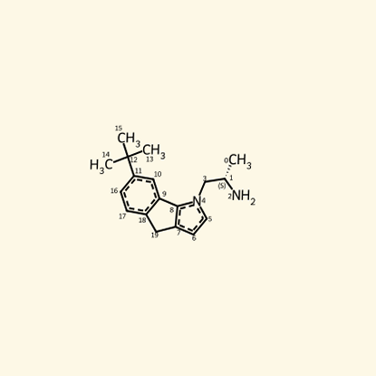 C[C@H](N)Cn1ccc2c1-c1cc(C(C)(C)C)ccc1C2